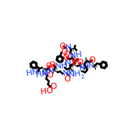 CC[C@H](C)[C@@H]([C@@H](CC(=O)N1CCC[C@]1(C)C[C@@H](C)C(=O)N[C@H](C)Cc1ccccc1)OC)N(C)C(=O)[C@@H](NC(=O)[C@H](C(C)C)N(C)C(=O)OCc1ccc(NC(=O)[C@H](CCCNC(N)=O)NC(=O)[C@@H](Cc2c[nH]c3ccccc23)NC(=O)CCCC(=O)O)cc1)C(C)C